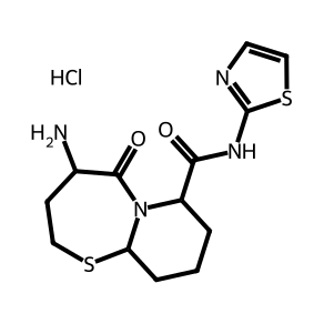 Cl.NC1CCSC2CCCC(C(=O)Nc3nccs3)N2C1=O